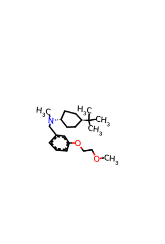 COCCOc1cccc(CN(C)[C@H]2CC[C@H](C(C)(C)C)CC2)c1